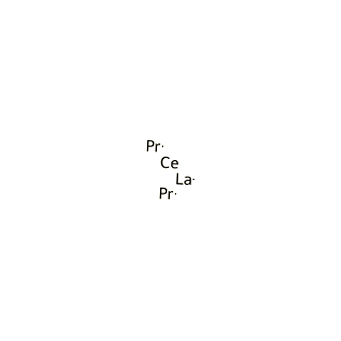 [Ce].[La].[Pr].[Pr]